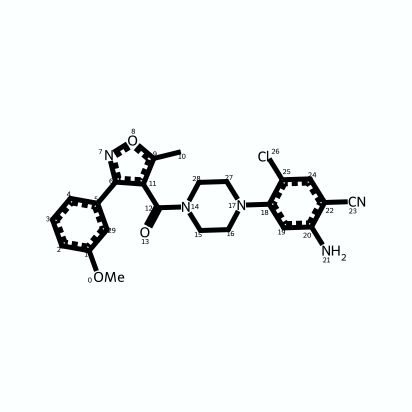 COc1cccc(-c2noc(C)c2C(=O)N2CCN(c3cc(N)c(C#N)cc3Cl)CC2)c1